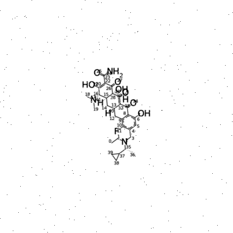 CCN(Cc1cc(O)c2c(c1F)C[C@H]1C[C@H]3[C@H](N(C)C)C(O)=C(C(N)=O)C(=O)[C@@]3(O)C(O)=C1C2=O)[C@H](C)C1CC1